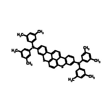 Cc1cc(C)cc(N(c2cc(C)cc(C)c2)c2ccc3c(c2)Sc2ccc4c5c(ccc-3c25)-c2ccc(N(c3cc(C)cc(C)c3)c3cc(C)cc(C)c3)cc2S4)c1